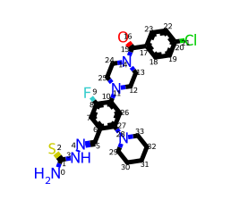 NC(=S)NN=Cc1cc(F)c(N2CCN(C(=O)c3ccc(Cl)cc3)CC2)cc1N1CCCCC1